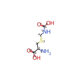 NC(CSCNC(=O)O)C(=O)O